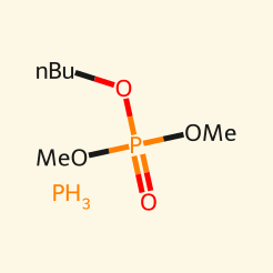 CCCCOP(=O)(OC)OC.P